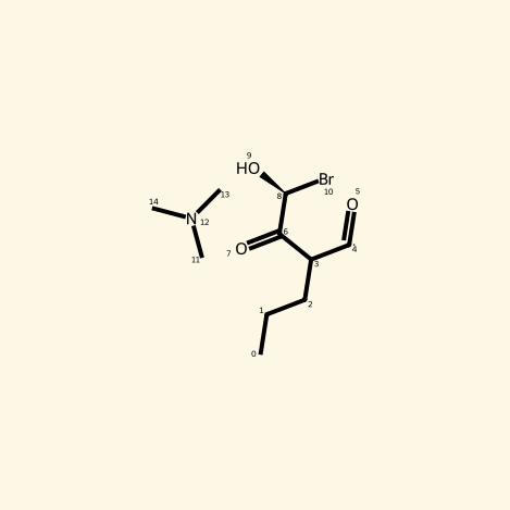 CCCC([C]=O)C(=O)[C@@H](O)Br.CN(C)C